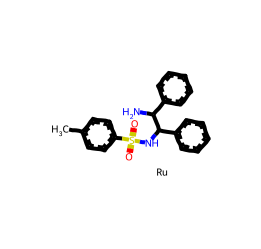 Cc1ccc(S(=O)(=O)NC(c2ccccc2)C(N)c2ccccc2)cc1.[Ru]